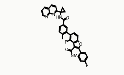 CNC(=O)c1c(-c2ccc(F)cc2)oc2ccc(-c3cc(C(=O)NC4(c5ccc6cccnc6n5)CC4)ccc3C)c(F)c12